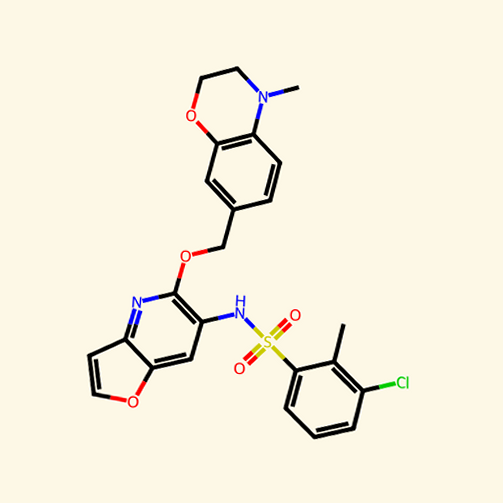 Cc1c(Cl)cccc1S(=O)(=O)Nc1cc2occc2nc1OCc1ccc2c(c1)OCCN2C